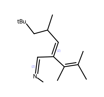 C/N=C\C(=C/C(C)CC(C)(C)C)C(C)=C(C)C